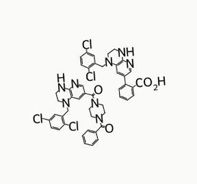 O=C(O)c1ccccc1-c1cnc2c(c1)N(Cc1cc(Cl)ccc1Cl)CCN2.O=C(c1ccccc1)N1CCN(C(=O)c2cnc3c(c2)N(Cc2cc(Cl)ccc2Cl)CCN3)CC1